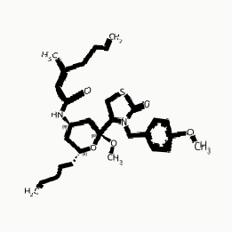 C=CCCC[C@@H]1C[C@@H](NC(=O)C=C(C)CCC=C)C[C@](OC)(C2CSC(=O)N2Cc2ccc(OC)cc2)O1